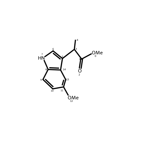 COC(=O)C(C)c1c[nH]c2ccc(OC)cc12